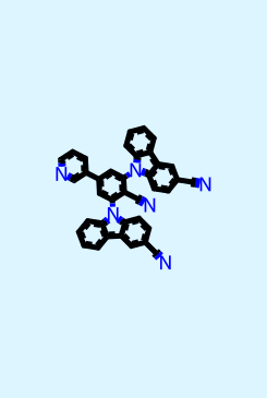 N#Cc1ccc2c(c1)c1ccccc1n2-c1cc(-c2cccnc2)cc(-n2c3ccccc3c3cc(C#N)ccc32)c1C#N